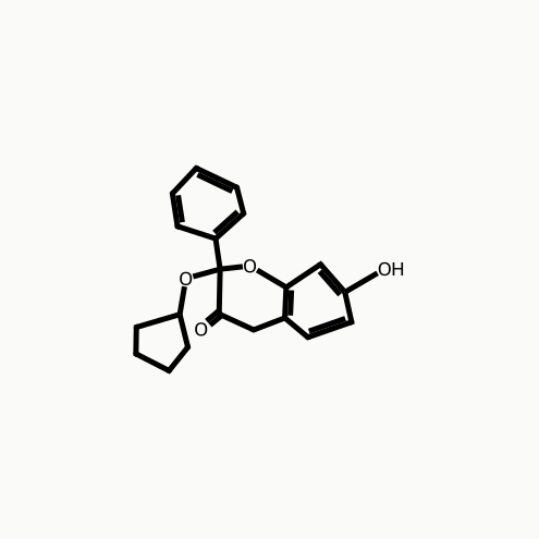 O=C1Cc2ccc(O)cc2OC1(OC1CCCC1)c1ccccc1